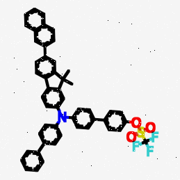 CC1(C)c2cc(-c3ccc4ccccc4c3)ccc2-c2ccc(N(c3ccc(-c4ccccc4)cc3)c3ccc(-c4ccc(OS(=O)(=O)C(F)(F)F)cc4)cc3)cc21